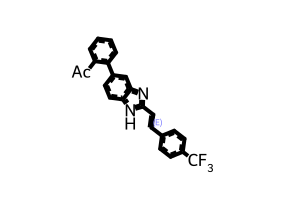 CC(=O)c1ccccc1-c1ccc2[nH]c(/C=C/c3ccc(C(F)(F)F)cc3)nc2c1